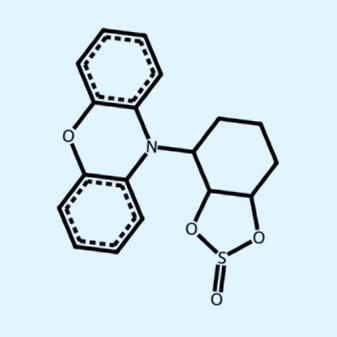 O=S1OC2CCCC(N3c4ccccc4Oc4ccccc43)C2O1